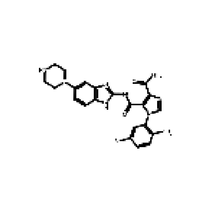 Cc1ccc(Br)cc1-n1cnc(C(N)=O)c1C(=O)Nc1nc2cc(N3CCNCC3)ccc2[nH]1